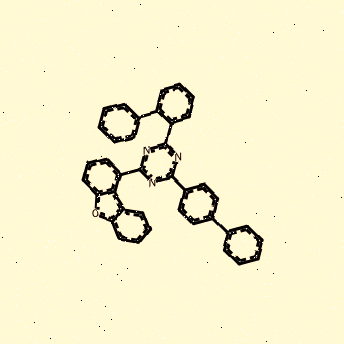 c1ccc(-c2ccc(-c3nc(-c4ccccc4-c4ccccc4)nc(-c4cccc5oc6ccccc6c45)n3)cc2)cc1